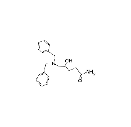 NC(=O)CCC(O)CN(Cc1ccccc1)Cc1ccccc1